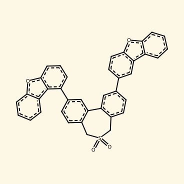 O=S1(=O)Cc2ccc(-c3ccc4oc5ccccc5c4c3)cc2-c2cc(-c3cccc4oc5ccccc5c34)ccc2C1